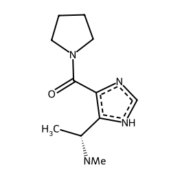 CN[C@H](C)c1[nH]cnc1C(=O)N1CCCC1